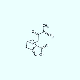 C=C(C)C(=O)CC1C2CC3C(=O)OC1C3C2